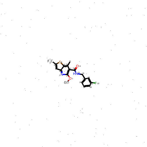 CCOc1nc2cc(C(F)(F)F)sc2c(C)c1C(=O)NCc1cccc(F)c1